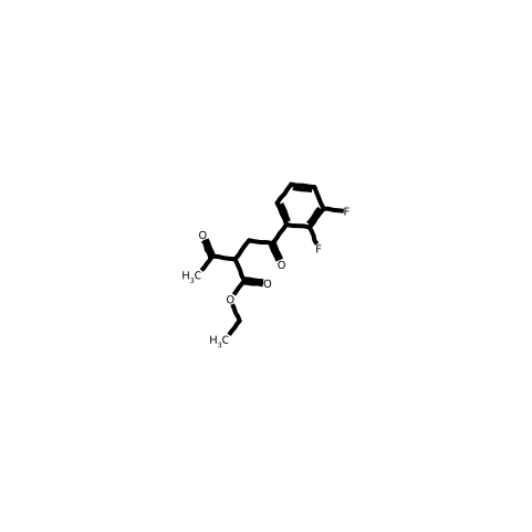 CCOC(=O)C(CC(=O)c1cccc(F)c1F)C(C)=O